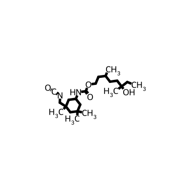 CCC(C)(O)CCC(C)CCOC(=O)NC1CC(C)(C)CC(C)(CN=C=O)C1